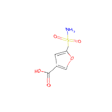 NS(=O)(=O)c1cc(C(=O)O)co1